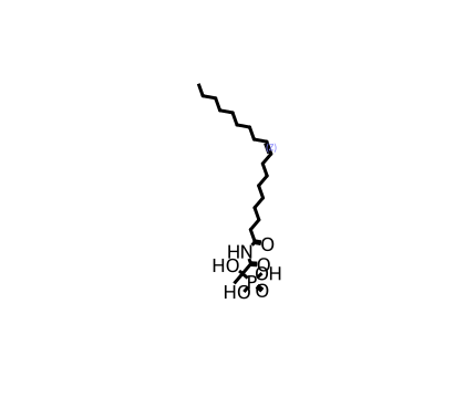 CCCCCCCC/C=C\CCCCCCCC(=O)NC(=O)C(C)(O)P(=O)(O)O